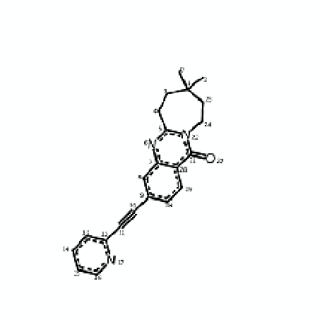 CC1(C)CCc2nc3cc(C#Cc4ccccn4)ccc3c(=O)n2CC1